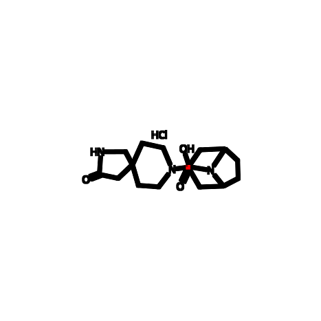 Cl.O=C1CC2(CCN(C3CC4CCC(C3)N4C(=O)O)CC2)CN1